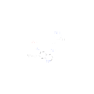 COc1cc2nccc(N3CCC(C(C)CN)CC3)c2cc1N1CCOCC1